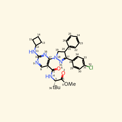 COC(=O)[C@@H](NC(=O)c1cnc(NC2CCC2)nc1N1CC(c2ccccc2)C(c2ccc(Cl)cc2)=N1)C(C)(C)C